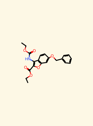 CCOC(=O)Nc1c(C(=O)OCC)oc2cc(OCc3ccccc3)ccc12